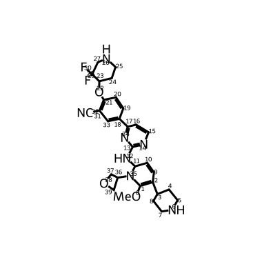 COC1=C(C2CCNCC2)C=CC(Nc2nccc(-c3ccc(OC4CCNCC4(F)F)c(C#N)c3)n2)N1C1COC1